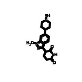 Cn1nc(C2CCC(=O)NC2=O)c2ccc(C3CCN(S)CC3)cc21